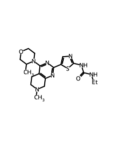 CCNC(=O)Nc1ncc(-c2nc3c(c(N4CCOCC4C)n2)CCN(C)C3)s1